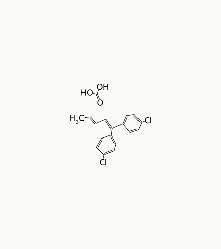 C/C=C/C=C(c1ccc(Cl)cc1)c1ccc(Cl)cc1.O=C(O)O